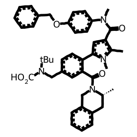 Cc1c(C(=O)N(C)c2ccc(OCc3ccccc3)cc2)cc(-c2ccc(CN(C(=O)O)C(C)(C)C)cc2C(=O)N2Cc3ccccc3C[C@H]2C)n1C